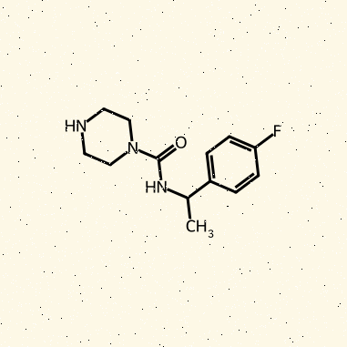 CC(NC(=O)N1CCNCC1)c1ccc(F)cc1